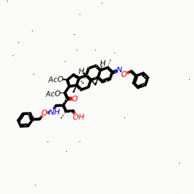 CC(=O)O[C@H]1C[C@@]2(C)[C@@H]3CC[C@H]4[C@H](C)/C(=N/OCc5ccccc5)C=C[C@@]45C[C@@]35CC[C@]2(C)C1[C@@H](OC(C)=O)C(=O)C(CNOCc1ccccc1)[C@@H](C)CO